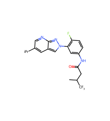 CC(C)c1cnc2nn(-c3cc(NC(=O)CC(C)C(F)(F)F)ccc3F)cc2c1